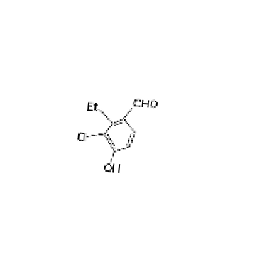 CCc1c(C=O)ccc(O)c1Cl